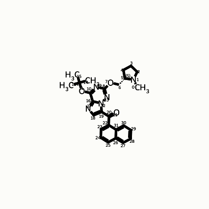 CN1CCC[C@H]1COc1nc(OC(C)(C)C)c2ncc(C(=O)c3cccc4ccccc34)n2n1